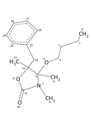 CCCCOC1(C)N(C)C(=O)OC1(C)Cc1ccccc1